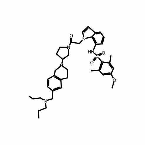 CCCN(CCC)Cc1ccc2c(c1)CCN(C1CCN(C(=O)Cn3ccc4cccc(NS(=O)(=O)c5c(C)cc(OC)cc5C)c43)C1)C2